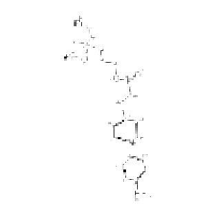 CC(C)O[Si](C)(CCCOC(=O)CCc1ccc(-c2ccc(N)cc2)cc1)OC(C)C